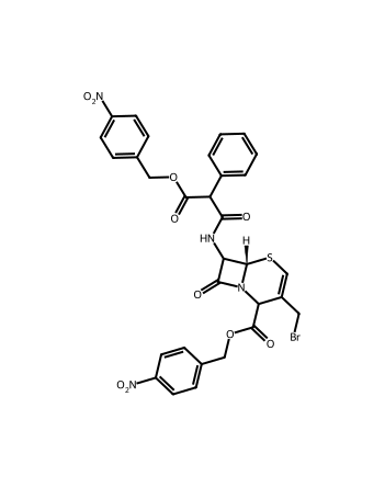 O=C(NC1C(=O)N2C(C(=O)OCc3ccc([N+](=O)[O-])cc3)C(CBr)=CS[C@@H]12)C(C(=O)OCc1ccc([N+](=O)[O-])cc1)c1ccccc1